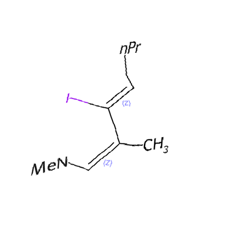 CCC/C=C(I)/C(C)=C\NC